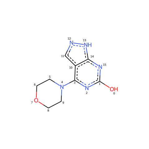 Oc1nc(N2CCOCC2)c2cn[nH]c2n1